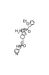 CCOc1ccccc1CCC(=O)Nc1sc2c(c1N)CCC(COC(=O)NCc1cccnc1)C2